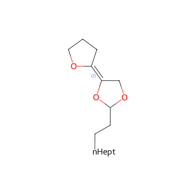 CCCCCCCCCC1OC/C(=C2\CCCO2)O1